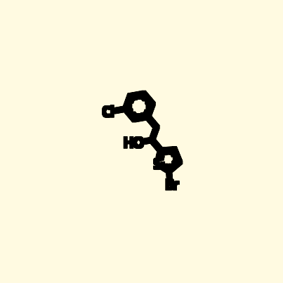 OC(Cc1cccc(Cl)c1)c1ccc(Br)s1